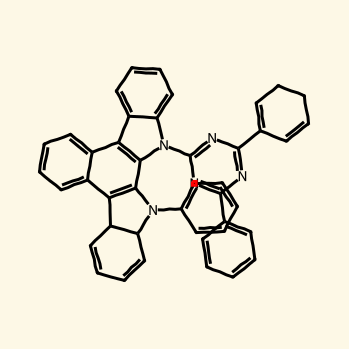 C1=CC2c3c(c4c(c5ccccc35)c3ccccc3n4-c3nc(C4=CCCC=C4)nc(-c4ccccc4)n3)N(c3ccccc3)C2C=C1